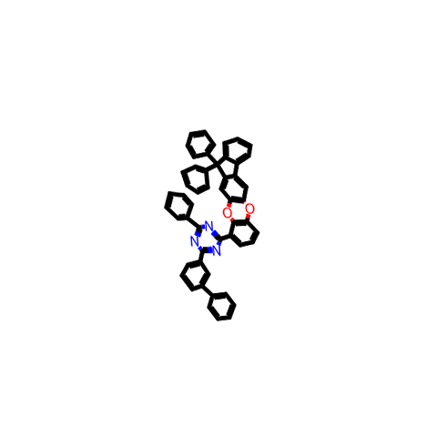 c1ccc(-c2cccc(-c3nc(-c4ccccc4)nc(-c4cccc5c4Oc4cc6c(cc4O5)-c4ccccc4C6(c4ccccc4)c4ccccc4)n3)c2)cc1